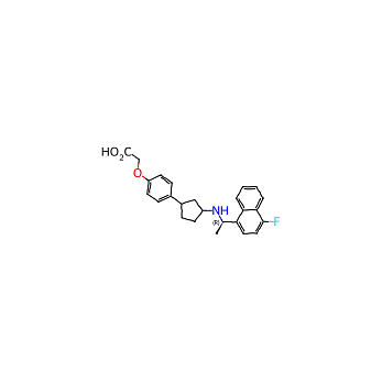 C[C@@H](NC1CCC(c2ccc(OCC(=O)O)cc2)C1)c1ccc(F)c2ccccc12